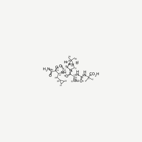 CC(C)(NC(=O)N[C@H](C(=O)N1C[C@H]2[C@@H]([C@H]1C(=O)NC(CC1CC1)C(=O)C(N)=O)C2(C)C)C(C)(C)C)C(=O)O